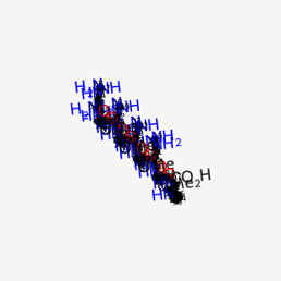 COc1ccc(NC(=O)[C@H](CCCCNC(=N)N)NC(=O)c2cc(NC(=O)[C@H](CCCNC(=N)N)NC(=O)c3cc(NC(=O)[C@H](CCCNC(=N)N)NC(=O)c4cc(NC(=O)[C@@H](N)CCCNC(=N)N)ccc4OC)ccc3OC)ccc2OC)cc1C(=O)N[C@@H](Cc1c[nH]c2ccccc12)C(=O)O